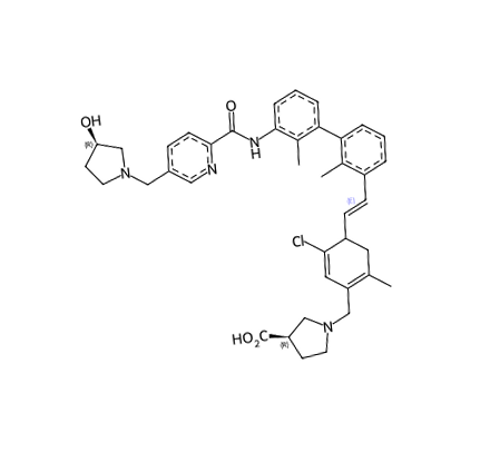 CC1=C(CN2CC[C@@H](C(=O)O)C2)C=C(Cl)C(/C=C/c2cccc(-c3cccc(NC(=O)c4ccc(CN5CC[C@@H](O)C5)cn4)c3C)c2C)C1